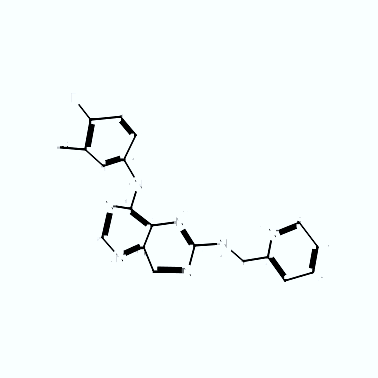 Fc1ccc(Nc2ncnc3cnc(NCc4ccccn4)nc23)cc1Cl